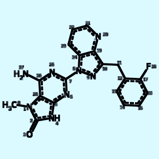 Cn1c(=O)[nH]c2nc(-n3nc(Cc4ccccc4F)c4ncccc43)nc(N)c21